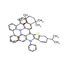 Cc1cc2c3c(c1)N(c1c(-c4ccccc4)cccc1-c1ccccc1)c1cc4c(cc1B3c1sc3c(c1N2c1ccccc1)C=CC(C(C)C)C3)C(C)(C)CCC4(C)C